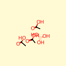 CC(=O)O.CC(=O)O.CC(=O)O.OB(O)O